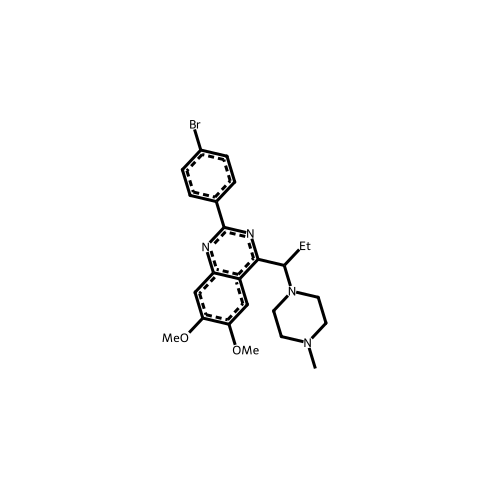 [CH2]CC(c1nc(-c2ccc(Br)cc2)nc2cc(OC)c(OC)cc12)N1CCN(C)CC1